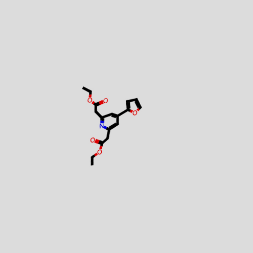 CCOC(=O)Cc1cc(-c2ccco2)cc(CC(=O)OCC)n1